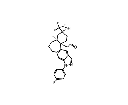 O=CC[C@]12CC[C@@](O)(C(F)(F)F)C[C@@H]1CCCc1cc3c(cnn3-c3ccc(F)cc3)cc12